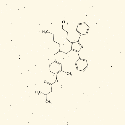 CCCCN(Cc1ccc(OC(=O)CC(C)C)c(C)c1)Cc1c(-c2ccccc2)nc(-c2ccccc2)n1CCCC